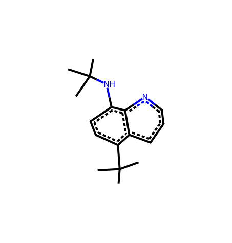 CC(C)(C)Nc1ccc(C(C)(C)C)c2cccnc12